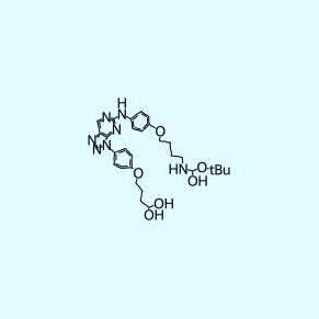 CC(C)(C)OC(O)NCCCCOc1ccc(Nc2ncc3nnn(-c4ccc(OCCCC(O)O)cc4)c3n2)cc1